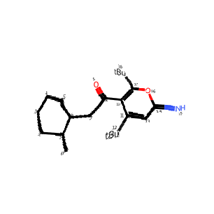 CC1CCCCC1CC(=O)c1c(C(C)(C)C)cc(=N)oc1C(C)(C)C